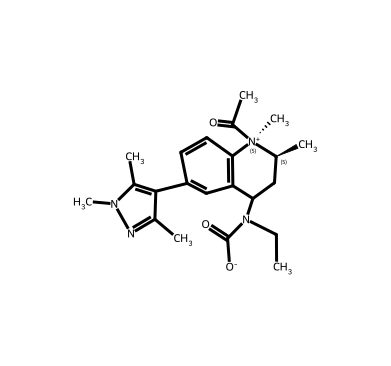 CCN(C(=O)[O-])C1C[C@H](C)[N@+](C)(C(C)=O)c2ccc(-c3c(C)nn(C)c3C)cc21